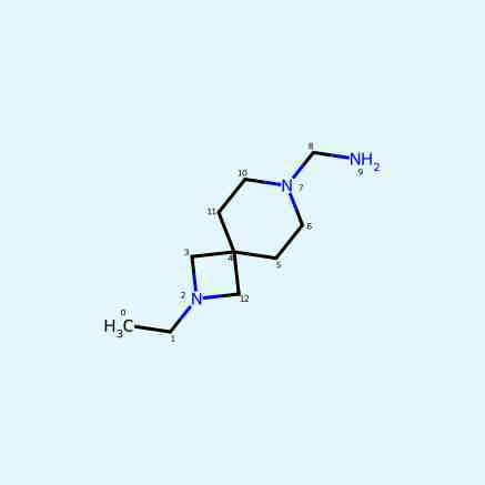 CCN1CC2(CCN(CN)CC2)C1